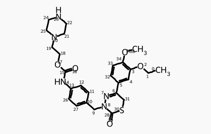 CCOc1cc(C2=NN(Cc3ccc(NC(=O)OCCN4CCNCC4)cc3)C(=O)SC2)ccc1OC